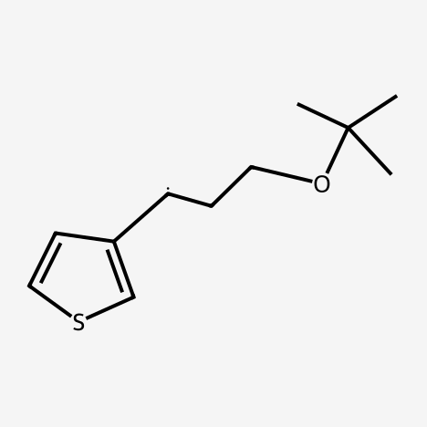 CC(C)(C)OCC[CH]c1ccsc1